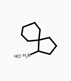 Cl.NC1CCCC12CCCCC2